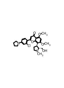 COc1cc(OC)c2c(=O)cc(-c3ccc(N4CCCC4)cc3Cl)oc2c1[C@@H]1CCN(C)[C@H]1CO